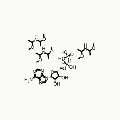 COC(C)NC(C)OC.COC(C)NC(C)OC.COC(C)NC(C)OC.Nc1ncnc2c1ncn2[C@@H]1O[C@H](COP(=O)(O)OP(=O)(O)O)[C@@H](O)[C@H]1O